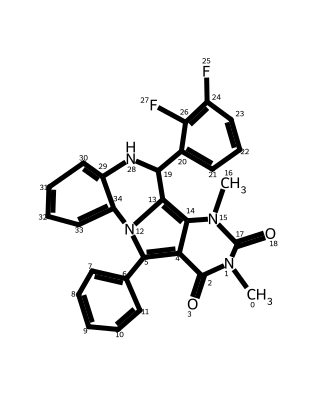 Cn1c(=O)c2c(-c3ccccc3)n3c(c2n(C)c1=O)C(c1cccc(F)c1F)Nc1ccccc1-3